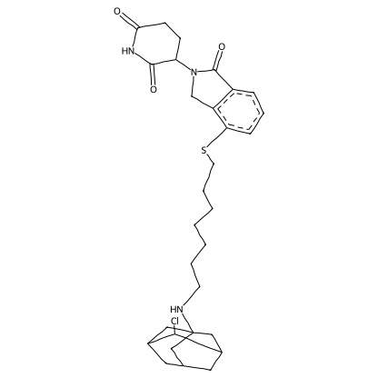 O=C1CCC(N2Cc3c(SCCCCCCCNC45CC6CC(C4)C(Cl)C(C6)C5)cccc3C2=O)C(=O)N1